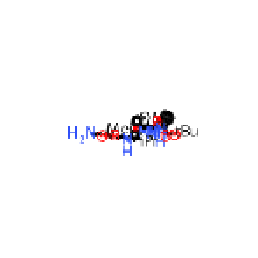 COc1cccc(OC)c1/C(=C/C(=N)C(=O)NC1(C2OC2OC(C)(C)C)C2CC3CC4CC1C2(C3)C4)Nc1ccc(NCCOCCOCCN)cc1C(C)C